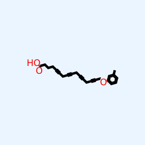 Cc1cccc(OCC#CCC#CCC#CCC#CCCCC(=O)O)c1